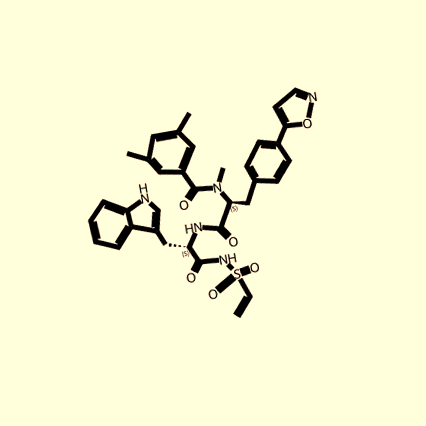 C=CS(=O)(=O)NC(=O)[C@H](Cc1c[nH]c2ccccc12)NC(=O)[C@H](Cc1ccc(-c2ccno2)cc1)N(C)C(=O)c1cc(C)cc(C)c1